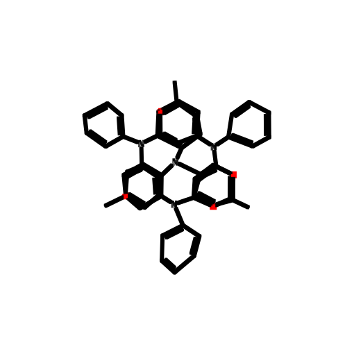 Cc1ccc(N(c2ccc(C)cc2N(c2ccccc2)c2ccccc2)c2ccc(C)cc2N(c2ccccc2)c2ccccc2)c(N(c2ccccc2)c2ccccc2)c1